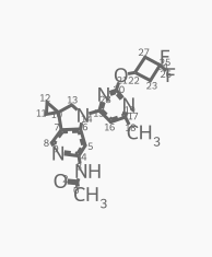 CC(=O)Nc1cc2c(cn1)C1(CC1)CN2c1cc(C)nc(OC2CC(F)(F)C2)n1